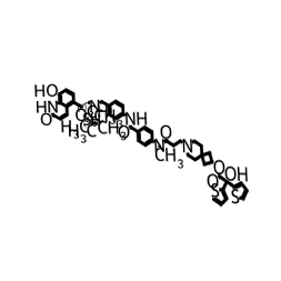 CN(C(=O)CCN1CCC2(CC1)CC(OC(=O)C(O)(c1cccs1)c1cccs1)C2)c1ccc(C(=O)Nc2ccc(CNC[C@H](O[Si](C)(C)C(C)(C)C)c3ccc(O)c4[nH]c(=O)ccc34)cc2)cc1